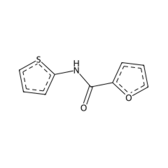 O=C(Nc1cccs1)c1ccco1